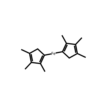 CC1=C(C)C(C)=[C]([Fe][C]2=C(C)C(C)=C(C)C2)C1